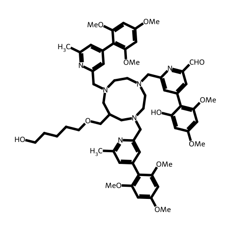 COc1cc(O)c(-c2cc(C=O)nc(CN3CCN(Cc4cc(-c5c(OC)cc(OC)cc5OC)cc(C)n4)CC(COCCCCCO)CN(Cc4cc(-c5c(OC)cc(OC)cc5OC)cc(C)n4)CC3)c2)c(OC)c1